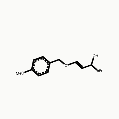 CCCC(O)C=COCc1ccc(OC)cc1